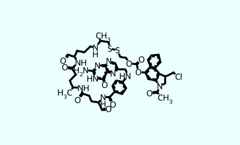 CC(=O)N1CC(CCl)c2c1cc(OC(=O)OCCSSCC(C)NCCCC(C=O)NC(=O)CCC(C)NC(=O)CCC(C=O)NC(=O)c1ccc(NCc3cnc4nc(N)[nH]c(=O)c4n3)cc1)c1ccccc21